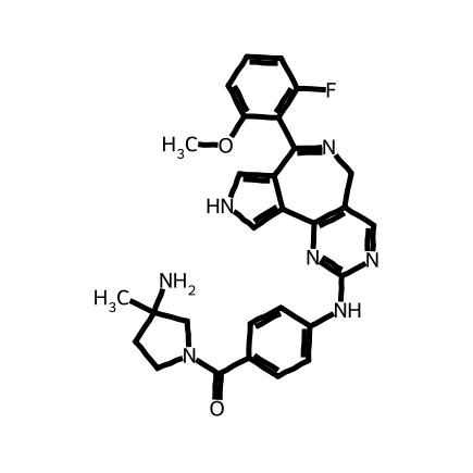 COc1cccc(F)c1C1=NCc2cnc(Nc3ccc(C(=O)N4CCC(C)(N)C4)cc3)nc2-c2c[nH]cc21